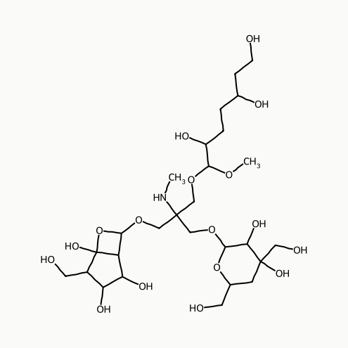 CNC(COC(OC)C(O)CCC(O)CCO)(COC1OC(CO)CC(O)(CO)C1O)COC1OC2(O)C(CO)C(O)C(O)C12